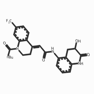 CCCCC(=O)N1CC/C(=C\C(=O)Nc2cccc3c2CC(O)C(=O)N3)c2ccc(C(F)(F)F)cc21